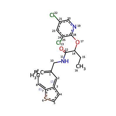 C=C(/C=c1/ccs/c1=C/C)CNC(=O)C(CC)Oc1ncc(Cl)cc1Cl